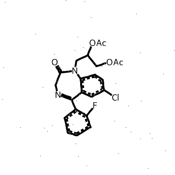 CC(=O)OCC(CN1C(=O)CN=C(c2ccccc2F)c2cc(Cl)ccc21)OC(C)=O